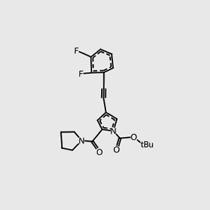 CC(C)(C)OC(=O)n1cc(C#Cc2cccc(F)c2F)cc1C(=O)N1CCCC1